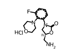 Cl.NC[C@H]1CN(c2cccc(F)c2N2CCOCC2)C(=O)O1